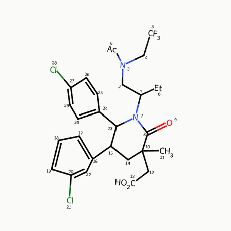 CCC(CN(CC(F)(F)F)C(C)=O)N1C(=O)C(C)(CC(=O)O)CC(c2cccc(Cl)c2)C1c1ccc(Cl)cc1